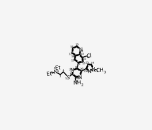 CCN(CC)CCSc1nc(-c2cc(Cl)c3ncccc3c2)c(-c2ccn(C)n2)nc1N